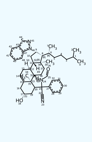 CC(C)CCC[C@@H](C)[C@H]1CC[C@H]2[C@@H]3CC=C4C[C@@H](O)CC(C(C#N)(NC=O)c5ccccc5)[C@]4(C)[C@H]3CC[C@]12C.c1ccc2snnc2c1